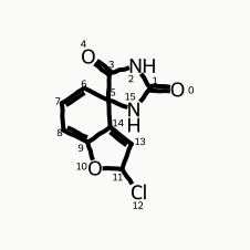 O=C1NC(=O)C2(C=CC=C3OC(Cl)C=C32)N1